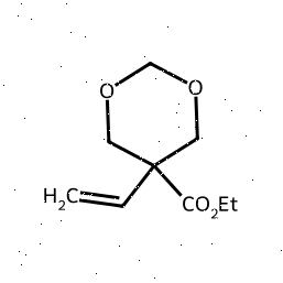 C=CC1(C(=O)OCC)COCOC1